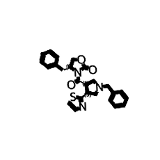 O=C1OC[C@@H](Cc2ccccc2)N1C(=O)[C@@H]1CN(Cc2ccccc2)C[C@H]1c1nccs1